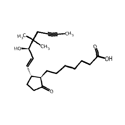 CC#CCC(C)(C)[C@H](O)/C=C/[C@H]1CCC(=O)[C@@H]1CCCCCCC(=O)O